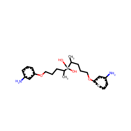 CC(CCCOc1cccc(N)c1)[Si](O)(O)C(C)CCCOc1cccc(N)c1